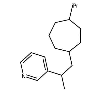 CC(CC1CCCC(C(C)C)CC1)c1cccnc1